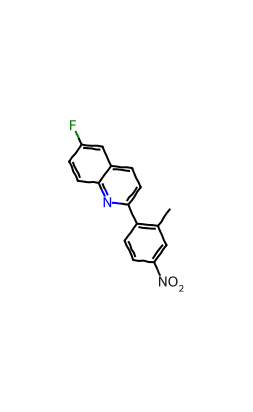 Cc1cc([N+](=O)[O-])ccc1-c1ccc2cc(F)ccc2n1